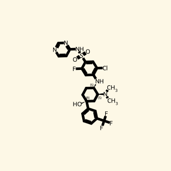 CN(C)[C@H]1C[C@@](O)(c2cccc(C(F)(F)F)c2)CC[C@@H]1Nc1cc(F)c(S(=O)(=O)Nc2ccncn2)cc1Cl